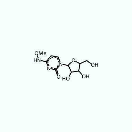 CONc1ccn(C2OC(CO)C(O)C2O)c(=O)n1